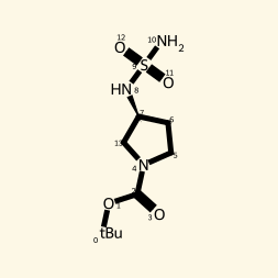 CC(C)(C)OC(=O)N1CC[C@H](NS(N)(=O)=O)C1